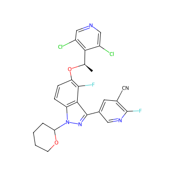 C[C@@H](Oc1ccc2c(c(-c3cnc(F)c(C#N)c3)nn2C2CCCCO2)c1F)c1c(Cl)cncc1Cl